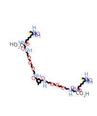 Cc1cc(C(=O)NCCCOCCOCCOCCCNC(=O)CC(NC(=O)CCCCC2SCC3NC(=O)NC32)C(=O)O)cc(C(=O)NCCCOCCOCCOCCCNC(=O)CC(NC(=O)CCCCC2SCC3NC(=O)NC32)C(=O)O)c1